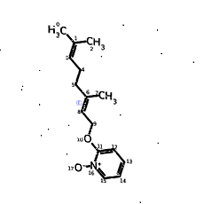 CC(C)=CCC/C(C)=C/COc1cccc[n+]1[O-]